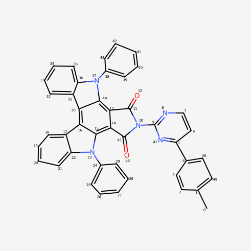 Cc1ccc(-c2ccnc(N3C(=O)c4c(c5c(c6ccccc6n5-c5ccccc5)c5c6ccccc6n(-c6ccccc6)c45)C3=O)n2)cc1